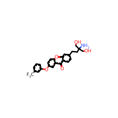 NC(CO)(CO)CCc1ccc2c(=O)c3cc(Oc4cccc(C(F)(F)F)c4)ccc3oc2c1